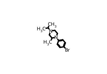 CC(C)N1CCN(c2ccc(Br)cc2)C(C)C1